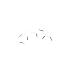 CCc1ccc(Oc2cc(C)c(C(=O)CBr)c(C)c2)cc1